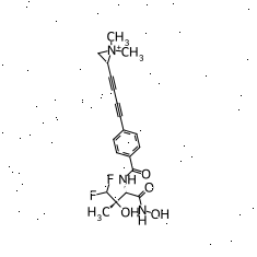 C[C@@](O)(C(F)F)[C@H](NC(=O)c1ccc(C#CC#CC2C[N+]2(C)C)cc1)C(=O)NO